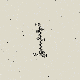 COP(=O)(O)OCCCCCCNC(=O)CCCC(=O)NCCO